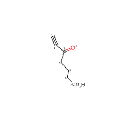 C#CC(=O)CCCC(=O)O